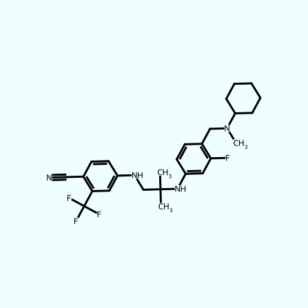 CN(Cc1ccc(NC(C)(C)CNc2ccc(C#N)c(C(F)(F)F)c2)cc1F)C1CCCCC1